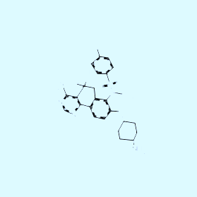 CN(c1c(O[C@H]2CC[C@H](N)CC2)ccc2c1CC(C)(C)c1c(N)ncnc1-2)S(=O)(=O)c1ccc(F)cc1